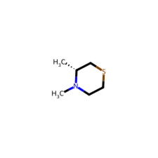 C[C@@H]1CSCCN1C